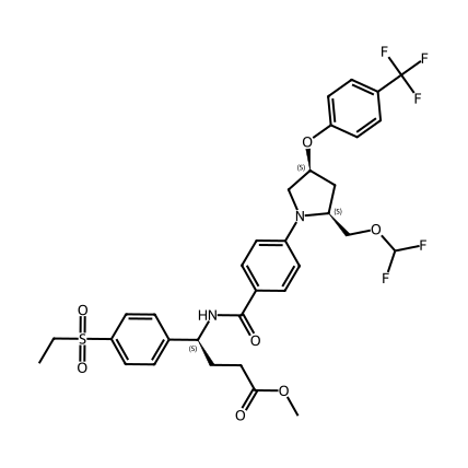 CCS(=O)(=O)c1ccc([C@H](CCC(=O)OC)NC(=O)c2ccc(N3C[C@@H](Oc4ccc(C(F)(F)F)cc4)C[C@H]3COC(F)F)cc2)cc1